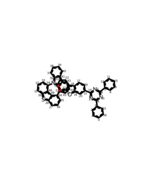 c1ccc(-c2nc(-c3ccccc3)nc(-c3ccc4c(c3)oc3c(-c5cccc6sc7cccc(-n8c9ccccc9c9ccccc98)c7c56)cccc34)n2)cc1